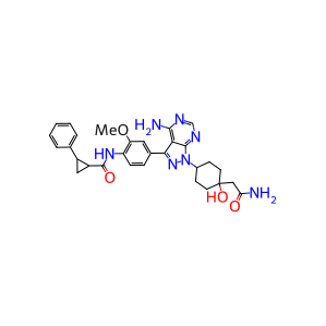 COc1cc(-c2nn(C3CCC(O)(CC(N)=O)CC3)c3ncnc(N)c23)ccc1NC(=O)C1CC1c1ccccc1